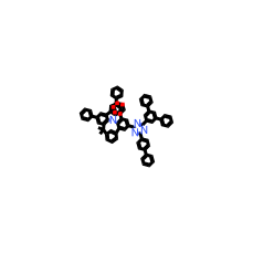 CC1(C)c2cccc(c2)-c2cc(-c3nc(-c4ccc(-c5ccccc5)cc4)nc(-c4cc(-c5ccccc5)cc(-c5ccccc5)c4)n3)cc(-c3ccccc3)c2-n2c3ccc(-c4ccccc4)cc3c3cc(-c4ccccc4)cc1c32